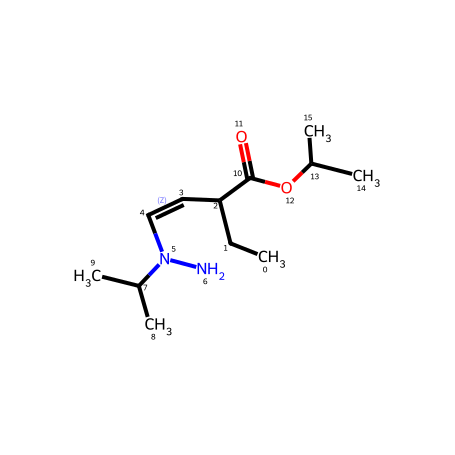 CCC(/C=C\N(N)C(C)C)C(=O)OC(C)C